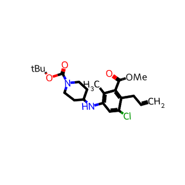 C=CCc1c(Cl)cc(NC2CCN(C(=O)OC(C)(C)C)CC2)c(C)c1C(=O)OC